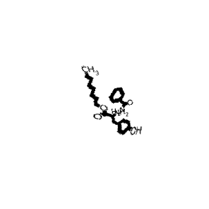 CCCCCCCCOC(=O)C(N)Cc1ccc(O)cc1.NC(=O)c1ccccc1